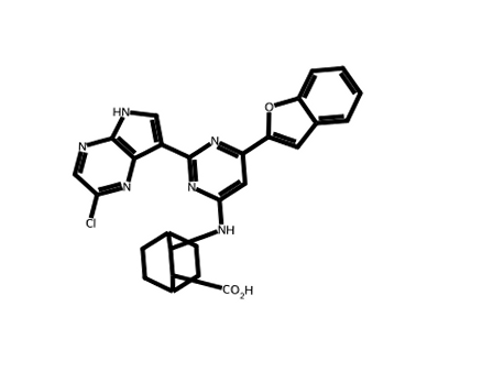 O=C(O)C1C2CCC(CC2)C1Nc1cc(-c2cc3ccccc3o2)nc(-c2c[nH]c3ncc(Cl)nc23)n1